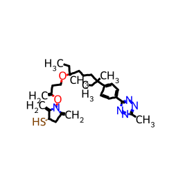 C=C(CCOC(C)(CC)CCCC(C)(CC)c1ccc(-c2nnc(C)nn2)cc1)ON1C(=C)C[C@H](S)C1=C